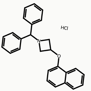 Cl.c1ccc(C(c2ccccc2)N2CC(Oc3cccc4ccccc34)C2)cc1